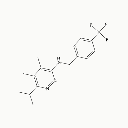 Cc1c(NCc2ccc(C(F)(F)F)cc2)nnc(C(C)C)c1C